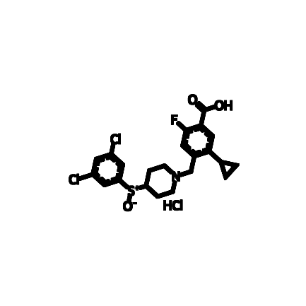 Cl.O=C(O)c1cc(C2CC2)c(CN2CCC([S+]([O-])c3cc(Cl)cc(Cl)c3)CC2)cc1F